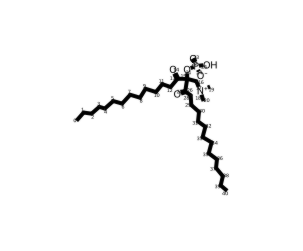 CCCCCCCCCCCCCC(=O)C(C[N+](C)(C)C)(OP(=O)([O-])O)C(=O)CCCCCCCCCCCCC